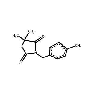 Cc1ccc(CN2C(=O)OC(C)(C)C2=O)cc1